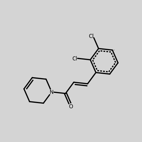 O=C(/C=C/c1cc[c]c(Cl)c1Cl)N1CC=CCC1